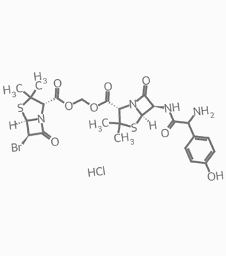 CC1(C)S[C@@H]2[C@H](Br)C(=O)N2[C@H]1C(=O)OCOC(=O)[C@@H]1N2C(=O)[C@@H](NC(=O)C(N)c3ccc(O)cc3)[C@H]2SC1(C)C.Cl